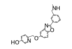 CNCc1cccc(-c2nc3cc(OCc4ccc(O)cn4)ccc3o2)c1